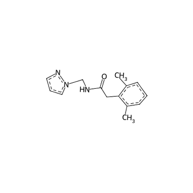 Cc1cccc(C)c1CC(=O)NCn1cccn1